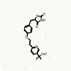 CC(O)(I)c1ccc(CCOc2ccc(CC3SC(=O)NC3=O)cc2)nc1